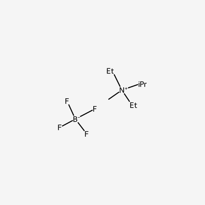 CC[N+](C)(CC)C(C)C.F[B-](F)(F)F